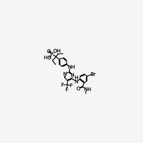 CCC(CC)(c1ccc(Nc2ncc(C(F)(F)F)c(Nc3ccc(Br)cc3C(=O)NC)n2)cc1)P(=O)(O)O